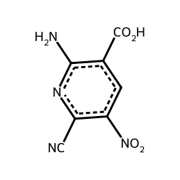 N#Cc1nc(N)c(C(=O)O)cc1[N+](=O)[O-]